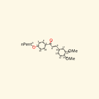 CCCCCOc1ccc(C(=O)C=Cc2ccc(OC)c(OC)c2)cc1